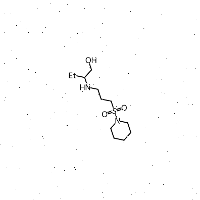 CCC(CO)NCCCS(=O)(=O)N1CC[CH]CC1